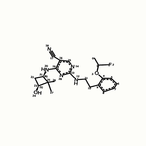 CC(F)Oc1ccccc1CCNc1ncc(C#N)c(N[C@@H]2C[C@H](O)C2(C)C)n1